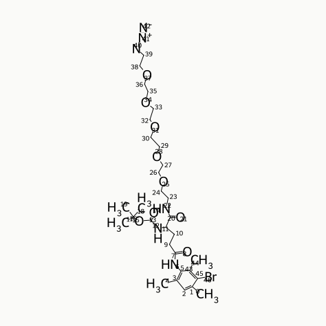 Cc1cc(C)c(NC(=O)CCC(NC(=O)OC(C)(C)C)C(=O)NCCOCCOCCOCCOCCOCCN=[N+]=[N-])c(C)c1Br